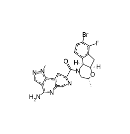 C[C@@H]1CN(C(=O)c2cc3c(cn2)nc(N)c2cnn(C)c23)[C@H]2c3ccc(Br)c(F)c3C[C@H]2O1